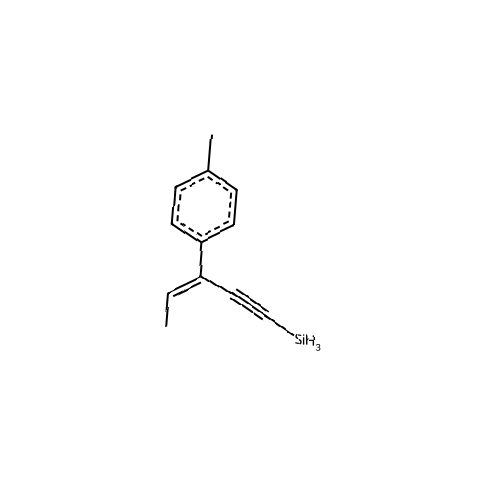 CC=C(C#C[SiH3])c1ccc(C)cc1